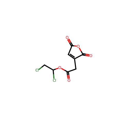 O=C1C=C(CC(=O)OC(Cl)CCl)C(=O)O1